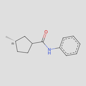 C[C@H]1CCC(C(=O)Nc2ccccc2)C1